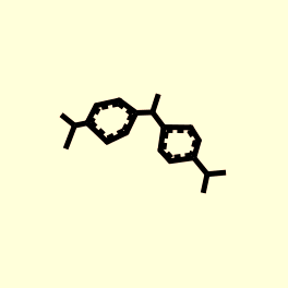 CC(C)c1ccc(C(C)c2ccc(C(C)C)cc2)cc1